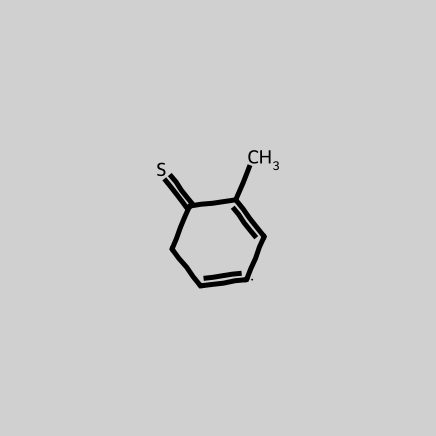 CC1=C[C]=CCC1=S